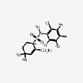 [2H]c1c([2H])c(N([2H])S(=O)(=O)[C@@H]2CCC([2H])([2H])C=C2C(=O)OCC)c(Cl)c([2H])c1F